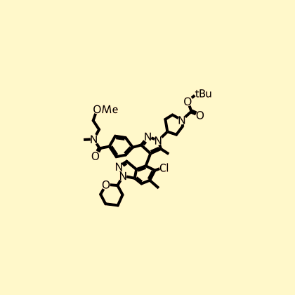 COCCN(C)C(=O)c1ccc(-c2nn(C3CCN(C(=O)OC(C)(C)C)CC3)c(C)c2-c2c(Cl)c(C)cc3c2cnn3C2CCCCO2)cc1